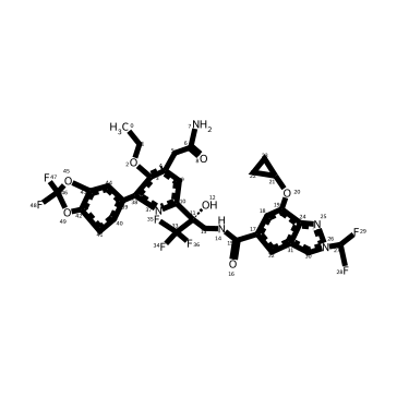 CCOc1c(CC(N)=O)cc([C@@](O)(CNC(=O)c2cc(OC3CC3)c3nn(C(F)F)cc3c2)C(F)(F)F)nc1-c1ccc2c(c1)OC(F)(F)O2